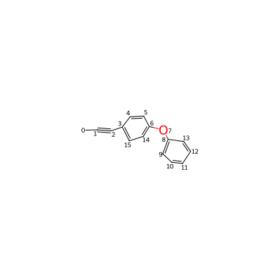 CC#Cc1ccc(Oc2ccccc2)cc1